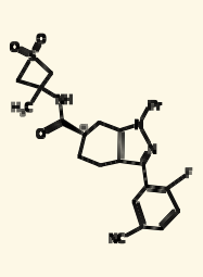 CC(C)n1nc(-c2cc(C#N)ccc2F)c2c1C[C@H](C(=O)NC1(C)CS(=O)(=O)C1)CC2